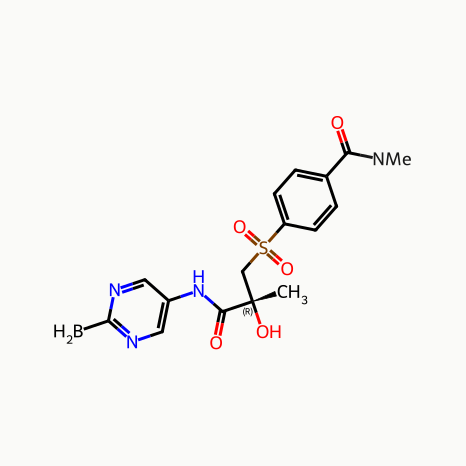 Bc1ncc(NC(=O)[C@@](C)(O)CS(=O)(=O)c2ccc(C(=O)NC)cc2)cn1